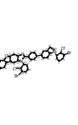 Clc1c(Br)cccc1-n1ncc2cc(-c3ccc(-c4nc5cc6oc7ccccc7c6cc5n4-c4cccc(Br)c4Cl)cc3)ccc21